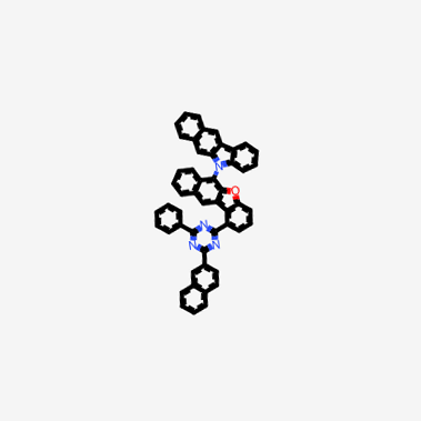 c1ccc(-c2nc(-c3ccc4ccccc4c3)nc(-c3cccc4oc5c(-n6c7ccccc7c7cc8ccccc8cc76)c6ccccc6cc5c34)n2)cc1